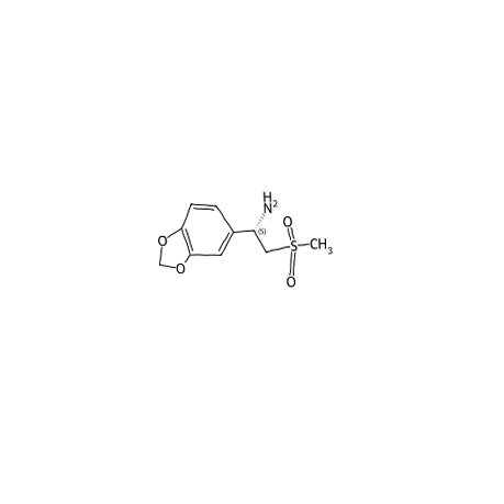 CS(=O)(=O)C[C@@H](N)c1ccc2c(c1)OCO2